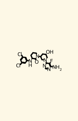 Nc1ncnc(N2CC(O)CC(N3CCCC(Nc4cc(Cl)cc(Cl)c4)C3=O)C2)c1F